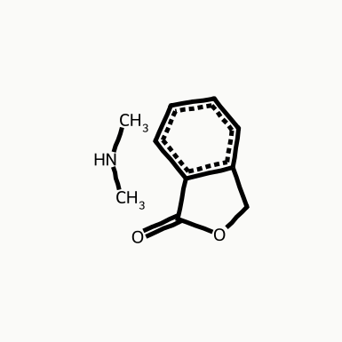 CNC.O=C1OCc2ccccc21